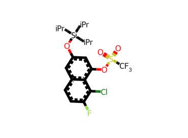 CC(C)[Si](Oc1cc(OS(=O)(=O)C(F)(F)F)c2c(Cl)c(F)ccc2c1)(C(C)C)C(C)C